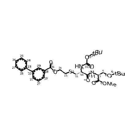 COC(=O)[C@H](COC(C)(C)C)NC(=O)[C@H](CSCCOC(=O)c1cccc(-c2ccccc2)c1)NC(=O)OC(C)(C)C